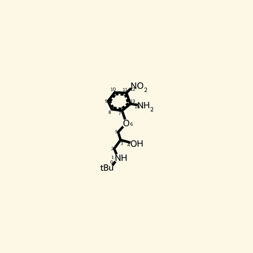 CC(C)(C)NCC(O)COc1cccc([N+](=O)[O-])c1N